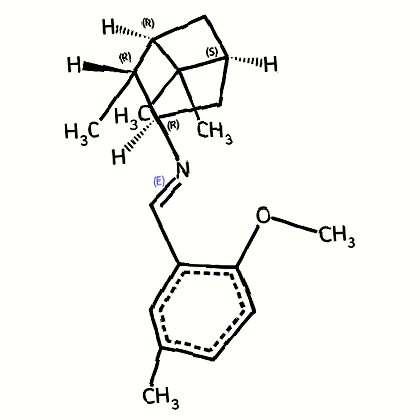 COc1ccc(C)cc1/C=N/[C@@H]1C[C@@H]2C[C@H]([C@H]1C)C2(C)C